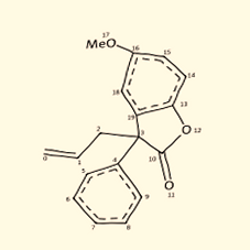 C=CCC1(c2ccccc2)C(=O)Oc2ccc(OC)cc21